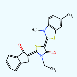 CCn1c(=O)/c(=C2\Sc3cc(C)ccc3N2C)s/c1=C1/Cc2ccccc2C1=O